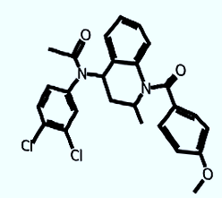 COc1ccc(C(=O)N2c3ccccc3C(N(C(C)=O)c3ccc(Cl)c(Cl)c3)CC2C)cc1